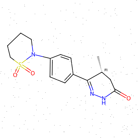 C[C@@H]1CC(=O)NN=C1c1ccc(N2CCCCS2(=O)=O)cc1